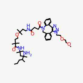 CCCC(C)C(C)(N)CC(C)(C)NC(=O)C(C)(C)CCOC(C)(C)CCNC(=O)CCC(=O)N1Cc2ccccc2-c2c(nnn2CCOCCOC)-c2ccccc21